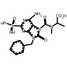 CCCS(=N)(=O)c1nc(N)c2c(n1)n(Cc1ccccc1)c(=O)n2C(=O)N(C)C(C)C(=O)O